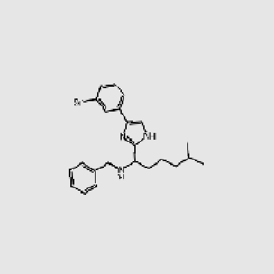 CC(C)CCCC(NCc1ccccc1)c1nc(-c2cccc(Br)c2)c[nH]1